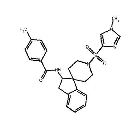 Cc1ccc(C(=O)NC2Cc3ccccc3C23CCN(S(=O)(=O)c2cn(C)cn2)CC3)cc1